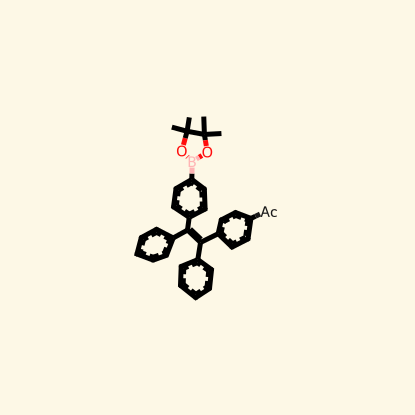 CC(=O)c1ccc(C(=C(c2ccccc2)c2ccc(B3OC(C)(C)C(C)(C)O3)cc2)c2ccccc2)cc1